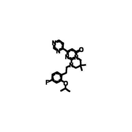 CC(C)Oc1cc(F)ccc1CCN1CC(C)(C)Cn2c1nc(-c1ccncn1)cc2=O